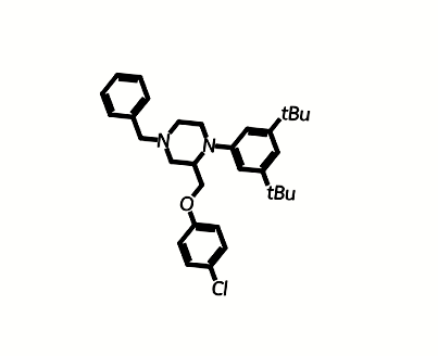 CC(C)(C)c1cc(N2CCN(Cc3ccccc3)CC2COc2ccc(Cl)cc2)cc(C(C)(C)C)c1